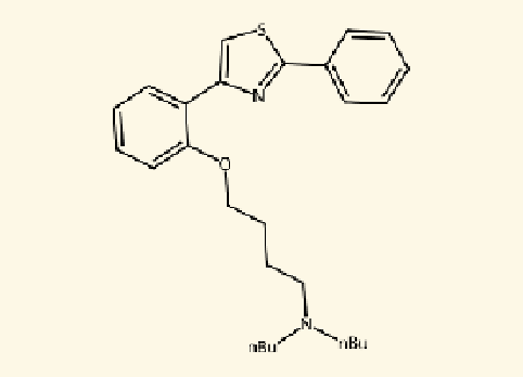 CCCCN(CCCC)CCCCOc1ccccc1-c1csc(-c2ccccc2)n1